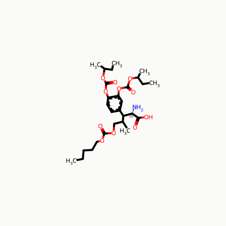 CCCCCOC(=O)OCC(C)C(c1ccc(OC(=O)OC(C)CC)c(OC(=O)OC(C)CC)c1)[C@H](N)C(=O)O